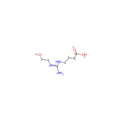 COCCN=C(N)NCCCC(=O)O